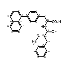 O=C(N[C@@H](Cc1ccc(-c2cccc3ccccc23)cc1)C(=O)O)[C@@H](CS)Cc1ccccc1